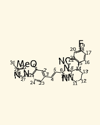 COc1cc(/C=C/c2nc3n(n2)CCC[C@@H]3c2ccc(F)cc2C#N)ccc1-n1cnc(C)c1